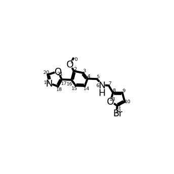 COc1cc(CNCc2ccc(Br)o2)ccc1-c1cnco1